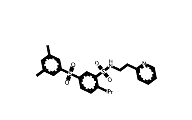 Cc1cc(C)cc(S(=O)(=O)c2ccc(C(C)C)c(S(=O)(=O)NCCc3ccccn3)c2)c1